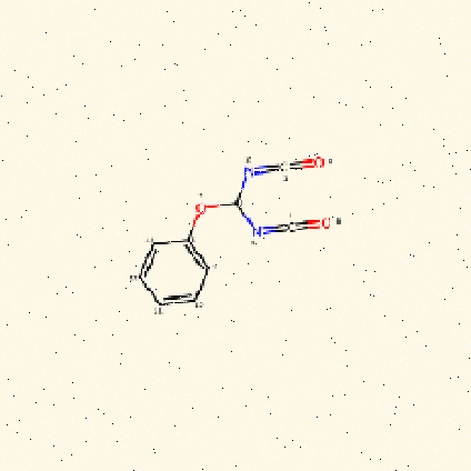 O=C=NC(N=C=O)Oc1ccccc1